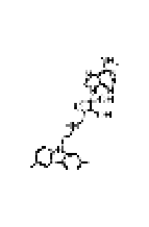 Cc1ccc2c(c1)c1ccc(C)cc1n2CCNCC1OCC(O)(n2cnc3c(N)ncnc32)C1O